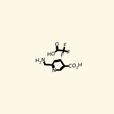 NCc1ccc(C(=O)O)cn1.O=C(O)C(F)(F)F